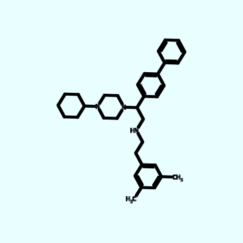 Cc1cc(C)cc(CCNCC(c2ccc(-c3ccccc3)cc2)N2CCN(C3CCCCC3)CC2)c1